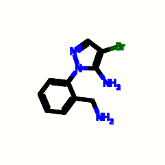 NCc1ccccc1-n1ncc(Br)c1N